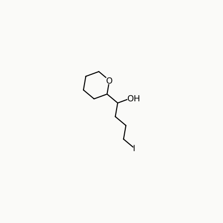 OC(CCCI)C1CCCCO1